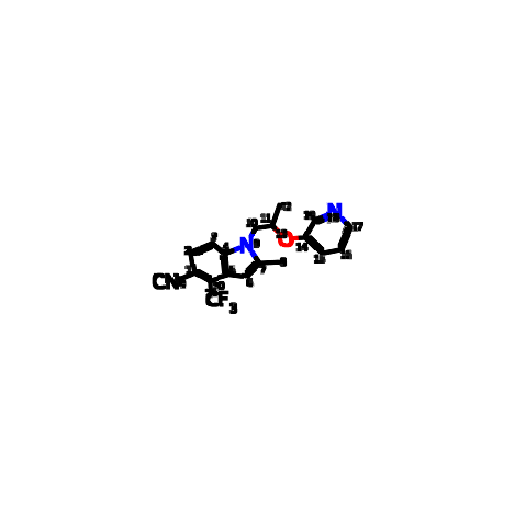 [C-]#[N+]c1ccc2c(cc(C)n2CC(C)Oc2cccnc2)c1C(F)(F)F